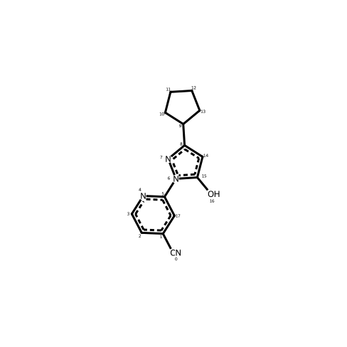 N#Cc1ccnc(-n2nc(C3CCCC3)cc2O)c1